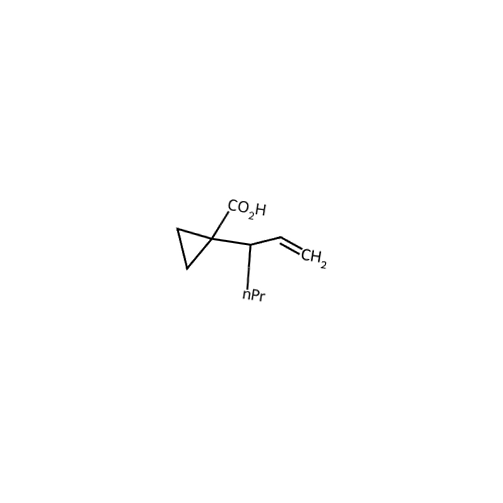 C=CC(CCC)C1(C(=O)O)CC1